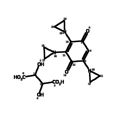 O=C(O)C(O)C(O)C(=O)O.O=C1C=C(N2CC2)C(=O)C(N2CC2)=C1N1CC1